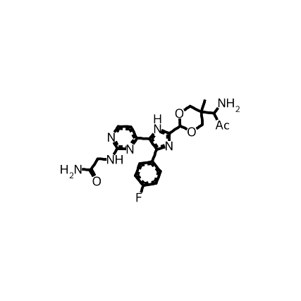 CC(=O)C(N)C1(C)COC(c2nc(-c3ccc(F)cc3)c(-c3ccnc(NCC(N)=O)n3)[nH]2)OC1